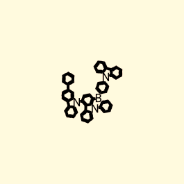 c1ccc(-c2ccc3c4ccccc4n(-c4ccc5c6c4c4ccccc4n6-c4ccccc4B5c4ccc(-n5c6ccccc6c6ccccc65)cc4)c3c2)cc1